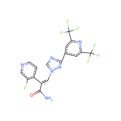 NC(=O)/C(=C/n1cnc(-c2cc(C(F)(F)F)nc(C(F)(F)F)c2)n1)c1ccncc1F